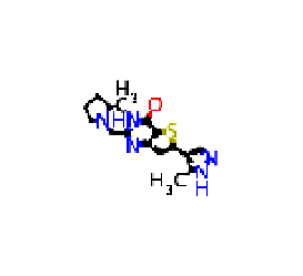 Cc1[nH]ncc1-c1cc2nc(CN3CCC[C@@H]3C)[nH]c(=O)c2s1